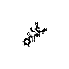 CCn1c(NC(=O)c2ccccc2)nc(C#N)c1C#N